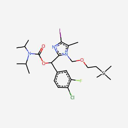 Cc1c(I)nc(C(OC(=O)N(C(C)C)C(C)C)c2ccc(Cl)c(F)c2)n1COCC[Si](C)(C)C